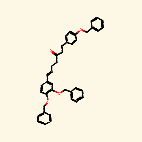 O=C(CC/C=C/c1ccc(OCc2ccccc2)c(OCc2ccccc2)c1)CCc1ccc(OCc2ccccc2)cc1